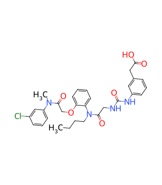 CCCCN(C(=O)CNC(=O)Nc1cccc(CC(=O)O)c1)c1ccccc1OCC(=O)N(C)c1cccc(Cl)c1